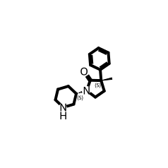 C[C@@]1(c2ccccc2)CCN([C@H]2CCCNC2)C1=O